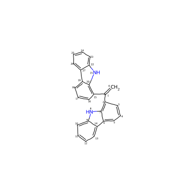 C=C(c1cccc2c1[nH]c1ccccc12)c1cccc2c1[nH]c1ccccc12